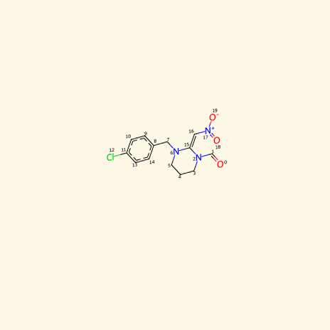 O=CN1CCCN(Cc2ccc(Cl)cc2)C1=C[N+](=O)[O-]